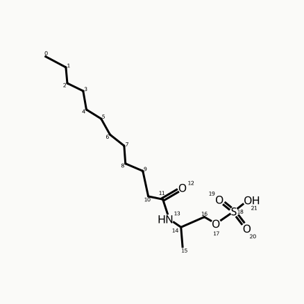 CCCCCCCCCCCC(=O)NC(C)COS(=O)(=O)O